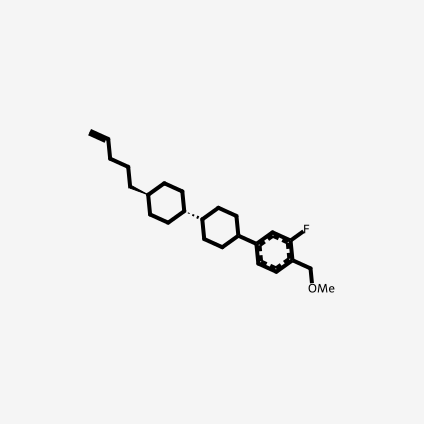 C=CCCC[C@H]1CC[C@H](C2CCC(c3ccc(COC)c(F)c3)CC2)CC1